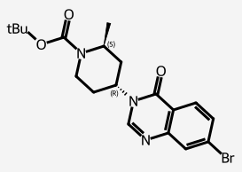 C[C@H]1C[C@H](n2cnc3cc(Br)ccc3c2=O)CCN1C(=O)OC(C)(C)C